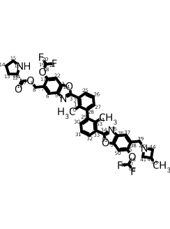 Cc1c(-c2nc3cc(COC(=O)[C@@H]4CCCN4)c(OC(F)F)cc3o2)cccc1-c1cccc(-c2nc3cc(CN4CC(C)C4)c(OC(F)F)cc3o2)c1C